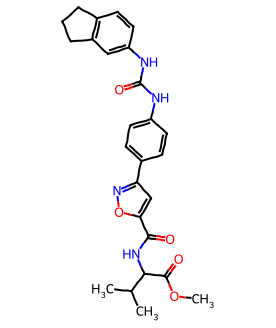 COC(=O)C(NC(=O)c1cc(-c2ccc(NC(=O)Nc3ccc4c(c3)CCC4)cc2)no1)C(C)C